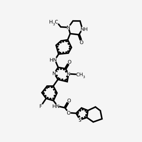 CCN1CCNC(=O)C1c1ccc(Nc2nc(-c3ccc(F)c(NC(=O)Oc4cc5c(s4)CCCC5)c3)cn(C)c2=O)cc1